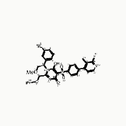 COC[C@@H](c1cccc(C#N)c1)n1c(COC(C)C)nc(=O)c(S(=O)(=O)c2ccc(-c3ccnc(F)c3C)cc2)c1O